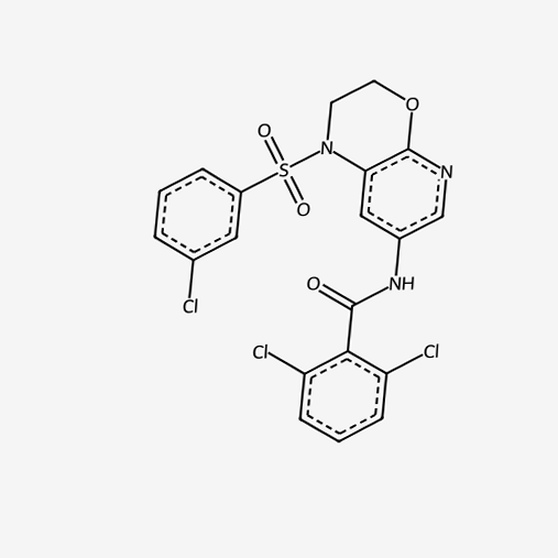 O=C(Nc1cnc2c(c1)N(S(=O)(=O)c1cccc(Cl)c1)CCO2)c1c(Cl)cccc1Cl